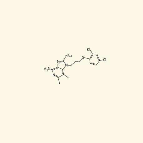 CCCCc1nc2c(N)nc(C)c(C)c2n1CCCSc1ccc(Cl)cc1Cl